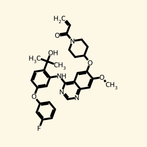 C=CC(=O)N1CCC(Oc2cc3c(Nc4cc(Oc5cccc(F)c5)ccc4C(C)(C)O)ncnc3cc2OC)CC1